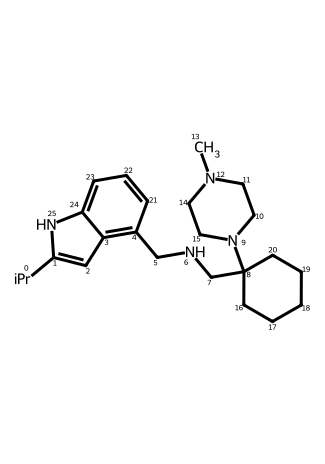 CC(C)c1cc2c(CNCC3(N4CCN(C)CC4)CCCCC3)cccc2[nH]1